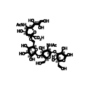 CC(=O)N[C@H]1[C@H](O[C@H]2[C@@H](O)[C@@H](CO)OC(O)[C@@H]2O)O[C@H](CO)[C@@H](O[C@@H]2O[C@H](CO[C@]3(C(=O)O)C[C@H](O)[C@@H](NC(C)=O)[C@H]([C@H](O)[C@H](O)CO)O3)[C@H](O)[C@H](O)[C@H]2O)[C@@H]1O